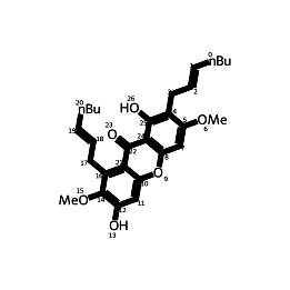 CCCCC=CCc1c(OC)cc2oc3cc(O)c(OC)c(CC=CCCCC)c3c(=O)c2c1O